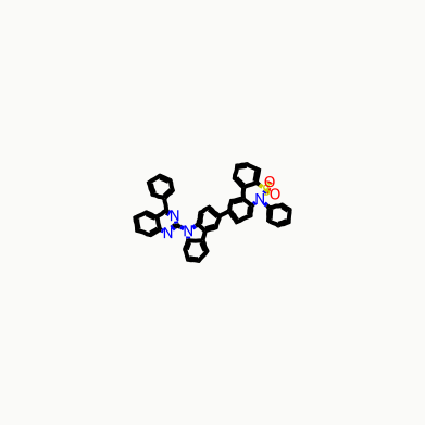 O=S1(=O)c2ccccc2-c2cc(-c3ccc4c(c3)c3ccccc3n4-c3nc(-c4ccccc4)c4ccccc4n3)ccc2N1c1ccccc1